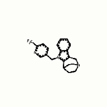 FC(F)(F)c1ccc(Cn2c3c(c4ccccc42)CN2CCC3CC2)cn1